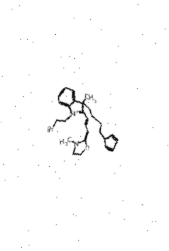 CC(C)CC[N+]1=C(/C=C/C=C2/OCCN2C)C(C)(CCCCC2C=CC=C2)c2ccccc21